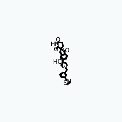 O=C1CCC(N2Cc3cc(C4(O)CCN(Cc5cccc(-c6nccs6)c5)CC4)ccc3C2=O)C(=O)N1